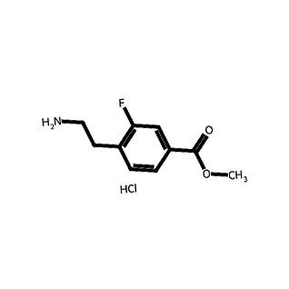 COC(=O)c1ccc(CCN)c(F)c1.Cl